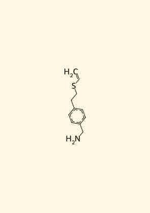 C=CSCCc1ccc(CN)cc1